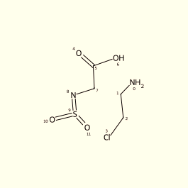 NCCCl.O=C(O)CN=S(=O)=O